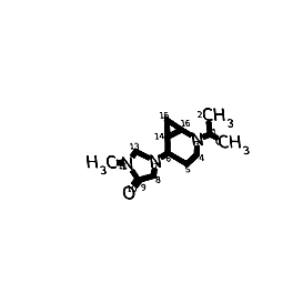 CC(C)N1CCC(N2CC(=O)N(C)C2)C2CC21